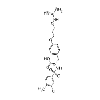 Cc1ccc(S(=O)(=O)N[C@@H](Cc2ccc(OCCCONC(=N)N)cc2)C(=O)O)cc1Cl